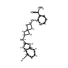 NC(=O)c1cccnc1OC1CC2(CC(Nc3nc4c(F)cccc4o3)C2)C1